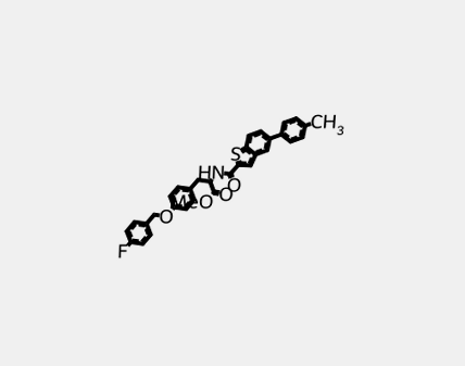 COC(=O)C(Cc1ccc(OCc2ccc(F)cc2)cc1)NC(=O)c1cc2cc(-c3ccc(C)cc3)ccc2s1